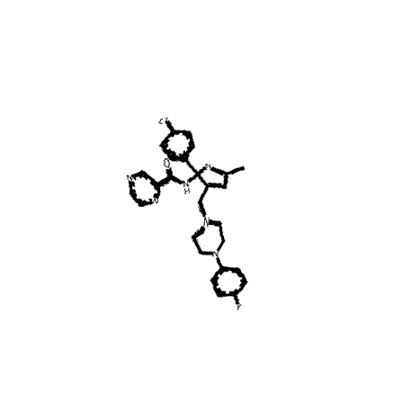 CC1=NC(NC(=O)c2cnccn2)(c2ccc(Cl)cc2)C(CN2CCN(c3ccc(F)cc3)CC2)=C1